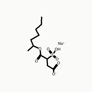 CCCCCC(C)OC(=O)C(CC(=O)[O-])S(=O)(=O)O.[Na+]